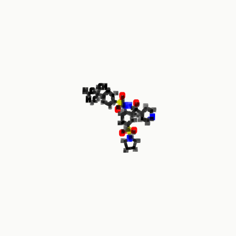 CC(C)(C)c1ccc(S(=O)(=O)Nc2ccc(S(=O)(=O)N3CCCC3)cc2C(=O)c2ccncc2)cc1